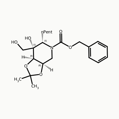 CCCCC[C@@H]1N(C(=O)OCc2ccccc2)C[C@H]2OC(C)(C)O[C@H]2[C@@]1(O)CO